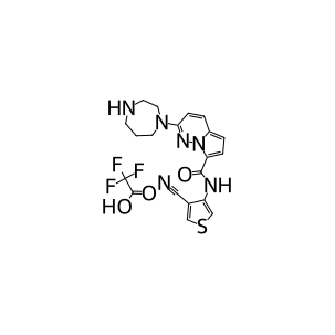 N#Cc1cscc1NC(=O)c1ccc2ccc(N3CCCNCC3)nn12.O=C(O)C(F)(F)F